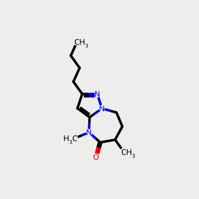 CCCCc1cc2n(n1)CCC(C)C(=O)N2C